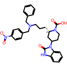 O=C(O)N1CCC(n2c(=O)[nH]c3ccccc32)C[C@@H]1CCCN(Cc1ccccc1)Cc1ccc([N+](=O)[O-])cc1